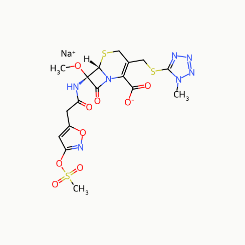 CO[C@@]1(NC(=O)Cc2cc(OS(C)(=O)=O)no2)C(=O)N2C(C(=O)[O-])=C(CSc3nnnn3C)CS[C@H]21.[Na+]